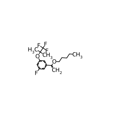 C=C(OCCCCC)c1cc(F)cc(OC(C)(C)C(F)(F)F)c1